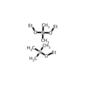 CCO[Si](C)(C)C.CCO[Si](C)(C)OCC